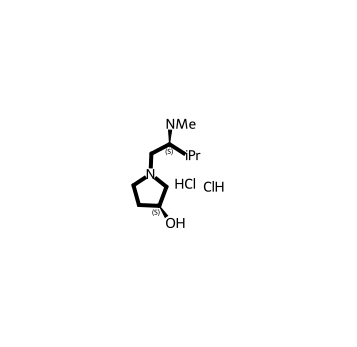 CN[C@H](CN1CC[C@H](O)C1)C(C)C.Cl.Cl